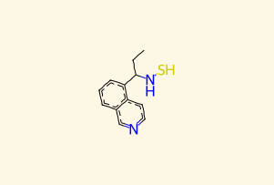 CCC(NS)c1cccc2cnccc12